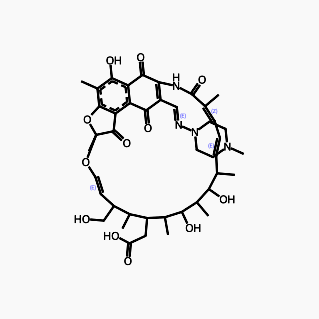 C/C1=C/C=C/C(C)C(O)C(C)C(O)C(C)C(CC(=O)O)C(C)C(CO)/C=C/OC2(C)Oc3c(C)c(O)c4c(c3C2=O)C(=O)C(/C=N/N2CCN(C)CC2)=C(NC1=O)C4=O